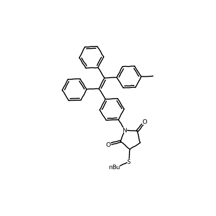 CCCCSC1CC(=O)N(c2ccc(C(=C(c3ccccc3)c3ccc(C)cc3)c3ccccc3)cc2)C1=O